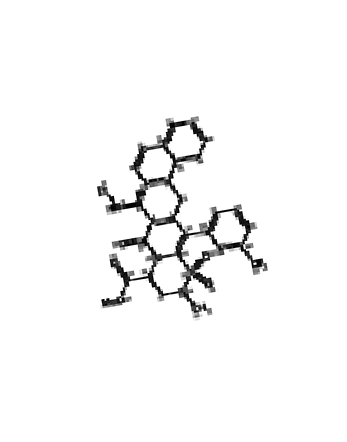 CCNC(=O)c1c(Cc2cccc3ccccc23)c(-c2cccc(C(F)(F)F)c2)c2n(c1=O)C(C(=O)OC)CN(C)S2(=O)=O